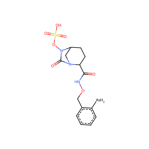 O=C(NOCc1ccccc1[AsH2])C1CCC2CN1C(=O)N2OS(=O)(=O)O